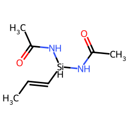 CC=C[SiH](NC(C)=O)NC(C)=O